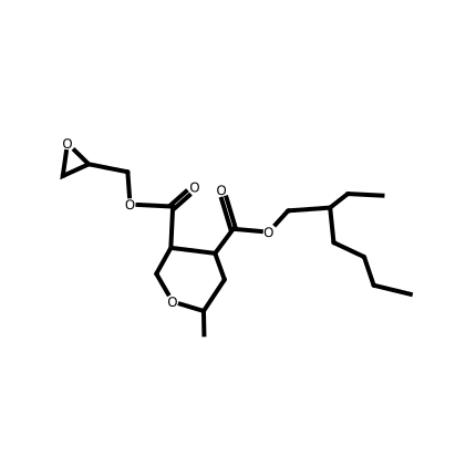 CCCCC(CC)COC(=O)C1CC(C)OCC1C(=O)OCC1CO1